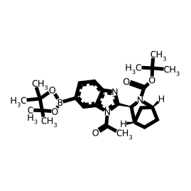 CC(=O)n1c([C@@H]2[C@H]3CC[C@H](C3)N2C(=O)OC(C)(C)C)nc2ccc(B3OC(C)(C)C(C)(C)O3)cc21